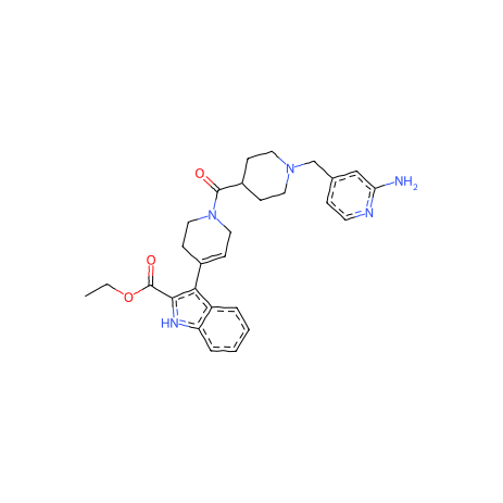 CCOC(=O)c1[nH]c2ccccc2c1C1=CCN(C(=O)C2CCN(Cc3ccnc(N)c3)CC2)CC1